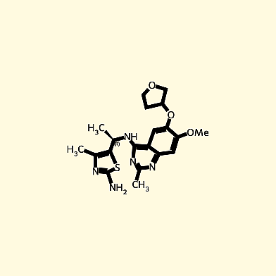 COc1cc2nc(C)nc(N[C@H](C)c3sc(N)nc3C)c2cc1OC1CCOC1